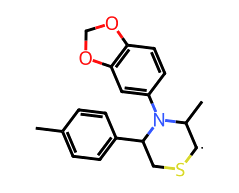 Cc1ccc(C2CS[CH]C(C)N2c2ccc3c(c2)OCO3)cc1